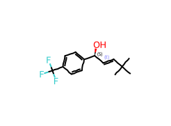 CC(C)(C)/C=C/[C@H](O)c1ccc(C(F)(F)F)cc1